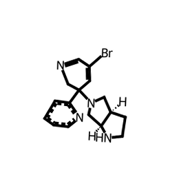 BrC1=CC(c2ccccn2)(N2C[C@H]3CCN[C@H]3C2)CN=C1